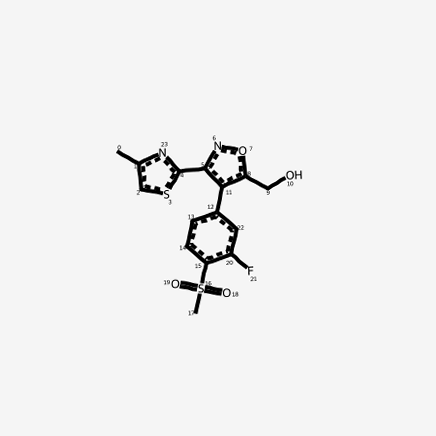 Cc1csc(-c2noc(CO)c2-c2ccc(S(C)(=O)=O)c(F)c2)n1